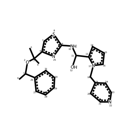 CC(OC(C)(C)c1csc(NC(O)c2cccn2Cc2ccncc2)n1)c1ccccc1